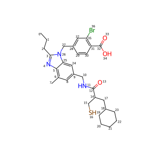 CCCc1nc2c(C)cc(CNC(=O)C(CS)CC3CCCCC3)cc2n1Cc1ccc(C(=O)O)c(Br)c1